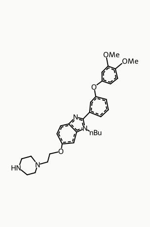 CCCCn1c(-c2cccc(Oc3ccc(OC)c(OC)c3)c2)nc2ccc(OCCN3CCNCC3)cc21